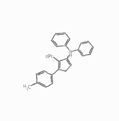 CCCC1=C(c2ccc(C)cc2)CC=C1[SiH](c1ccccc1)c1ccccc1